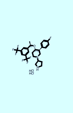 C[C@@H](O[C@H]1CCN(C2CCNC2)C[C@@H]1c1ccc(F)cc1)c1cc(C(F)(F)F)cc(C(F)(F)F)c1.Cl.Cl